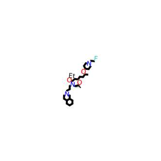 CCC1C(=O)N(CCCN2CCC3CCCCC3C2)C[C@H](C)OC1CCC(C)OC1CCN(CCF)CC1